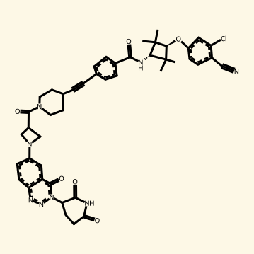 CC1(C)[C@H](NC(=O)c2ccc(C#CC3CCN(C(=O)C4CN(c5ccc6nnn(C7CCC(=O)NC7=O)c(=O)c6c5)C4)CC3)cc2)C(C)(C)[C@H]1Oc1ccc(C#N)c(Cl)c1